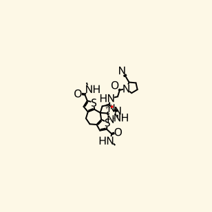 CNC(=O)c1cc2c(s1)C(C[C@@H](C)NCC(=O)N1CCCC1C#N)(c1nn[nH]n1)c1sc(C(=O)NC)cc1CC2